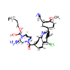 CCCOC(=O)N1CCN(C(=O)c2ccc3c(Cl)cc(-c4ccc(OC)c(C#N)c4)nc3c2)C[C@H]1N